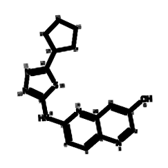 Oc1cnc2ccc(Nc3nnc(C4CCCC4)s3)nc2c1